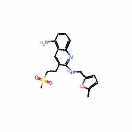 Cc1ccc(CNc2nc3cccc(N)c3cc2CCS(C)(=O)=O)o1